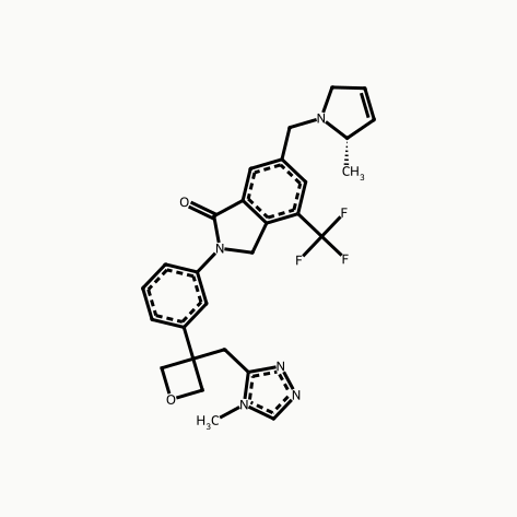 C[C@H]1C=CCN1Cc1cc2c(c(C(F)(F)F)c1)CN(c1cccc(C3(Cc4nncn4C)COC3)c1)C2=O